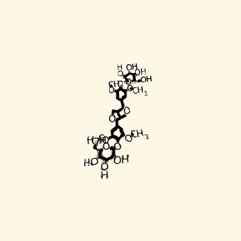 COc1cc(C2OCC3C(c4cc(OC)c(O[C@@H]5O[C@H](CO)[C@@H](O)[C@H](O)[C@H]5O)c(OC)c4)OCC23)cc(OC)c1O[C@H]1O[C@@H](CO)[C@H](O)[C@@H](O)[C@@H]1O